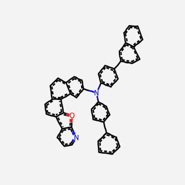 c1ccc(-c2ccc(N(c3ccc(-c4ccc5ccccc5c4)cc3)c3ccc4ccc5ccc6c7cccnc7oc6c5c4c3)cc2)cc1